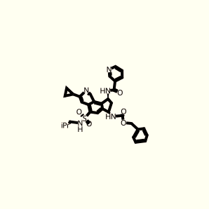 CC(C)CNS(=O)(=O)c1cc2c(c3cnc(C4CC4)cc13)[C@@H](NC(=O)c1cccnc1)C[C@H]2NC(=O)OCc1ccccc1